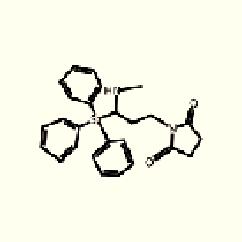 CNC(CCN1C(=O)CCC1=O)[Si](c1ccccc1)(c1ccccc1)c1ccccc1